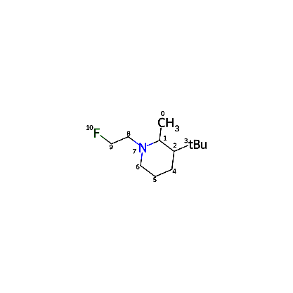 CC1C(C(C)(C)C)CCCN1CCF